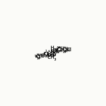 COC(=O)[C@H](Cc1ccc(OCc2ccccc2)cc1)NC(=O)c1cc2cc(-c3ccc(Cl)cc3)ccc2[nH]1